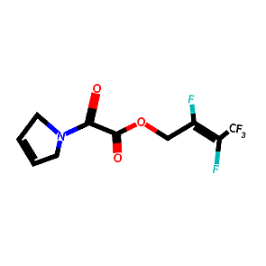 O=C(OC/C(F)=C(\F)C(F)(F)F)C(=O)N1CC=CC1